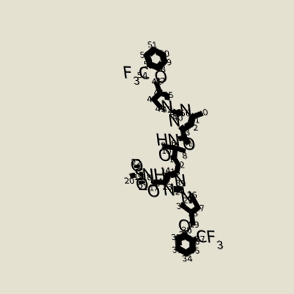 Cc1cc(C(=O)NC2(C)COC2Cc2cc(C(=O)NS(C)(=O)=O)nc(N3CCC(COc4ccccc4C(F)(F)F)C3)n2)nc(N2CCC(COc3ccccc3C(F)(F)F)C2)n1